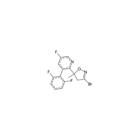 CC1(c2ncc(F)cc2-c2c(F)cccc2F)CC(Br)=NO1